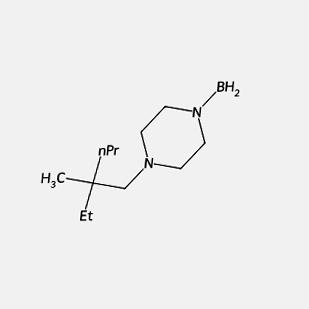 BN1CCN(CC(C)(CC)CCC)CC1